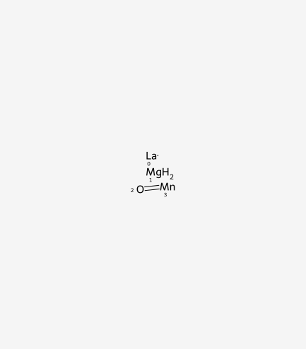 [La].[MgH2].[O]=[Mn]